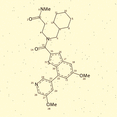 CNC(=O)CCN(CC1CCCCC1)C(=O)c1cc2cc(OC)cc(-c3cncc(OC)c3)c2s1